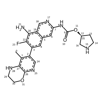 Cc1c(-c2cc3cc(NC(=O)O[C@H]4CCNC4)ncc3c(N)c2F)cnc2c1NCCO2